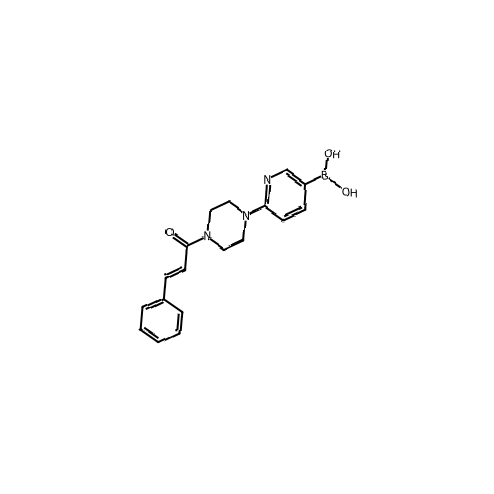 O=C(/C=C/c1ccccc1)N1CCN(c2ccc(B(O)O)cn2)CC1